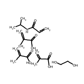 C=C(C)C(=O)O.C=C(C)C(=O)O.C=C(C)C(=O)O.C=CC(=O)NC(C)C.OCCO